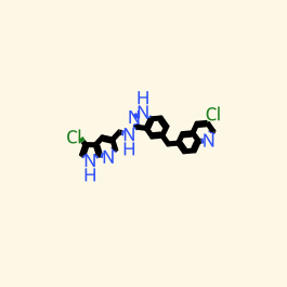 Clc1cnc2ccc(Cc3ccc4[nH]nc(NCc5cnc6[nH]cc(Cl)c6c5)c4c3)cc2c1